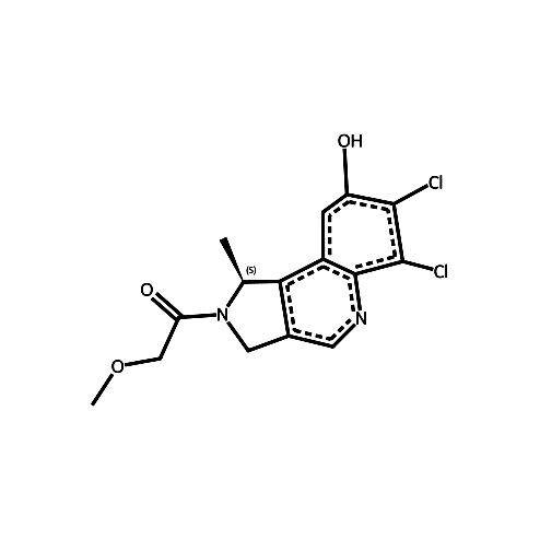 COCC(=O)N1Cc2cnc3c(Cl)c(Cl)c(O)cc3c2[C@@H]1C